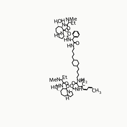 C=C(/C=C\C=C/C)[C@H](NC(=O)[C@@H]1CC[C@@H]2CC[C@H](CO)[C@H](NC(=O)[C@H](CC)NC)C(=O)N21)C(=O)NCCCCC1CCC(CCCCNC(=O)[C@@H](NC(=O)[C@@H]2CC[C@@H]3CC[C@H](CO)[C@H](NC(=O)[C@H](CC)NC)C(=O)N32)c2ccccc2)CC1